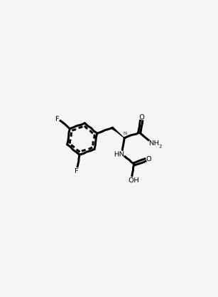 NC(=O)[C@H](Cc1cc(F)cc(F)c1)NC(=O)O